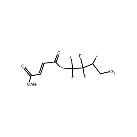 COC(=O)C=CC(=O)OC(F)(F)C(F)(F)C(F)CC(F)(F)F